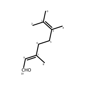 CC(C)=C(C)CC/C(C)=C/C=O